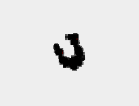 COCC12CCC(CCN3CCc4c(nc(C(=O)Nc5cccc(-c6cccc(NC(=O)c7nc8c(n7C)CCN(CCC79CCC(C(=O)O)(CC7)C9)C8)c6Cl)c5C)n4C)C3)(CC1)C2